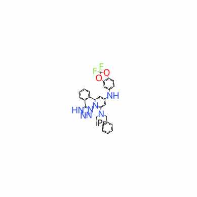 CC(C)CN(Cc1ccccc1)c1cc(Nc2ccc3c(c2)OC(F)(F)O3)cc(-c2ccccc2-c2nnn[nH]2)n1